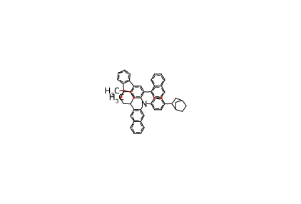 CC1(C)c2ccccc2-c2cc(-c3cccc4ccccc34)c(N(c3ccc(C4CC5CCC4C5)cc3)c3cc4ccccc4cc3C3CCCCC3)cc21